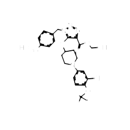 CCOC(=O)c1nnn(Cc2ccc(OC)cc2)c1SC1CCN(c2ccc(OC(F)(F)F)c(Cl)c2)CC1